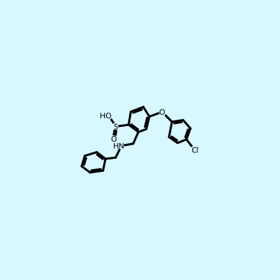 O=S(O)c1ccc(Oc2ccc(Cl)cc2)cc1CNCc1ccccc1